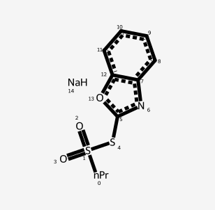 CCCS(=O)(=O)Sc1nc2ccccc2o1.[NaH]